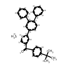 CC(C)(C)c1ccc(C(=O)c2csc(-c3ccc(-c4ccccc4)c(-c4ccccc4)c3)c2)cc1.S